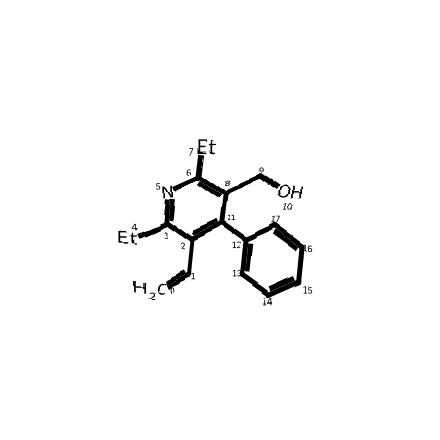 C=Cc1c(CC)nc(CC)c(CO)c1-c1ccccc1